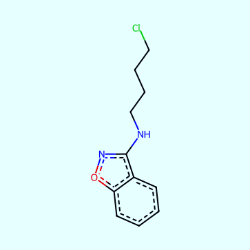 ClCCCCNc1noc2ccccc12